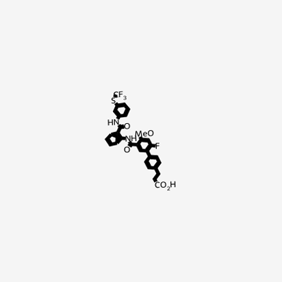 COc1cc(F)c(-c2ccc(CCC(=O)O)cc2)cc1C(=O)NC1C2C=CC(C2)C1C(=O)Nc1cccc(SC(F)(F)F)c1